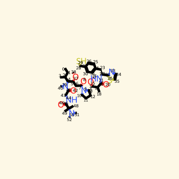 CCC(C)C(C(CC(=O)N1CCC[C@H]1C(OC)C(C)C(=O)N[C@@H](Cc1ccc(CS)cc1)c1nccs1)OC)N(C)C(=O)CNC(=O)C(C)(C)N(C)C